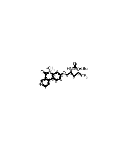 Cn1c(=O)c2cnccc2c2ccc(OCC(CCC(F)(F)F)NC(=O)OC(C)(C)C)cc21